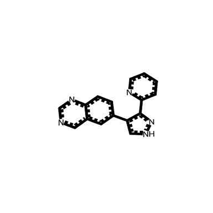 c1ccc(-c2n[nH]cc2-c2ccc3ncncc3c2)nc1